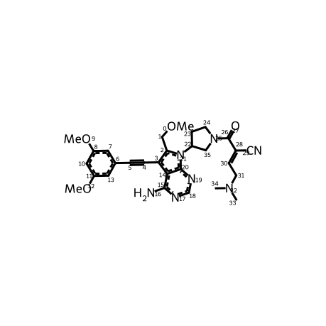 COCc1c(C#Cc2cc(OC)cc(OC)c2)c2c(N)ncnc2n1C1CCN(C(=O)C(C#N)=CCN(C)C)C1